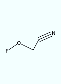 N#CCOF